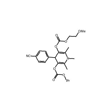 COCCOC(=O)OC1=C(C)N(C)C(C)=C(OC(=O)OC(C)C)C1c1ccc(C#N)cc1